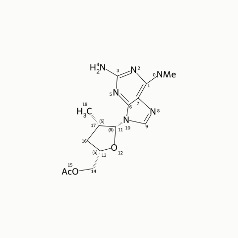 CNc1nc(N)nc2c1ncn2[C@@H]1O[C@H](COC(C)=O)C[C@@H]1C